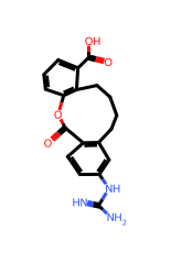 N=C(N)Nc1ccc2c(c1)CCCCc1c(cccc1C(=O)O)OC2=O